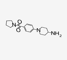 NC1CCN(c2ccc(S(=O)(=O)N3CCCC3)cc2)CC1